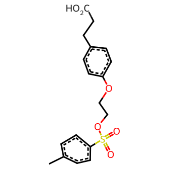 Cc1ccc(S(=O)(=O)OCCOc2ccc(CCC(=O)O)cc2)cc1